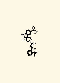 COC(=O)c1ccc2c(c1)C1(CCN(C(=O)C=Cc3ccccc3C(F)(F)F)CC1)C(=O)N2C